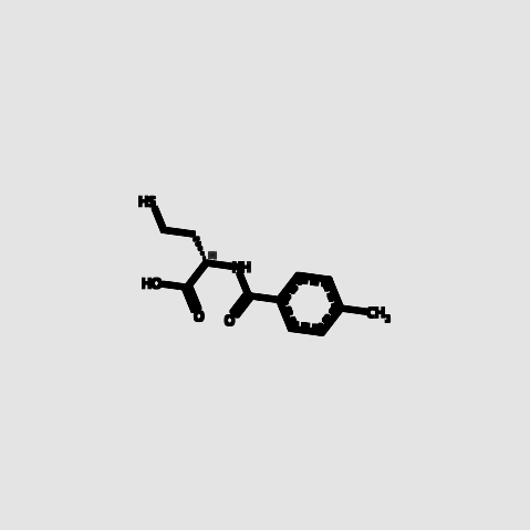 Cc1ccc(C(=O)N[C@@H](CCS)C(=O)O)cc1